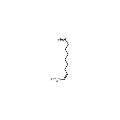 CCCCCCCCCCCCC/C=C\C(=O)O